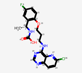 C[C@@H](NC(=O)O)c1cc(F)ccc1OCCCNc1ncnc2ccc(Cl)nc12